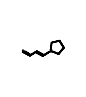 S=CC=CN1CCCC1